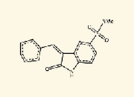 CNS(=O)(=O)c1ccc2c(c1)C(=Cc1ccccc1)C(=O)N2